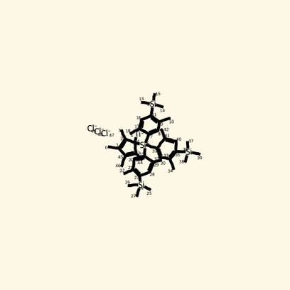 CC1=C(C)[C]([Ti+3])([Si](c2cc(C)c([Si](C)(C)C)cc2C)(c2cc(C)c([Si](C)(C)C)cc2C)c2cc(C)c([Si](C)(C)C)cc2C)C(C)=C1C.[Cl-].[Cl-].[Cl-]